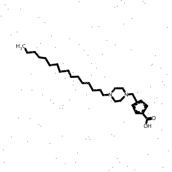 CCCCCCCCCCCCCCCCN1CCN(Cc2ccc(C(=O)O)cc2)CC1